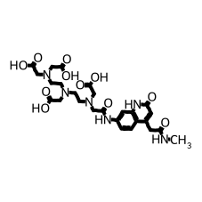 CNC(=O)Cc1cc(=O)[nH]c2cc(NC(=O)CN(CCN(CCN(CC(=O)O)CC(=O)O)CC(=O)O)CC(=O)O)ccc12